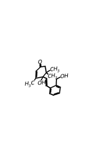 CC1=CC(=O)CC(C)(C)C1(O)/C=C/c1ccccc1CO